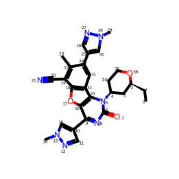 CC[C@H]1C[C@@H](n2c(=O)nc(-c3cnn(C)c3)c3oc4c(C#N)c(C)c(-c5cnn(C)c5)cc4c32)CCO1